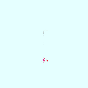 O=P(O)(O)OCCCCCCCCCCCCCCCCCCCCCCCCCC(=S)S